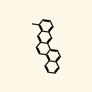 Cc1cccc2cc3c(ccc4c5ccccc5ccc34)cc12